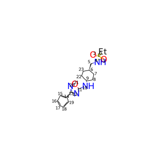 CCS(=O)(=O)NC[C@H]1CC[C@H](Nc2nc(-c3ccccc3)no2)CC1